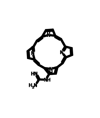 N=C(N)Nc1cc2cc3nc(cc4ccc(cc5nc(cc1[nH]2)C=C5)[nH]4)C=C3